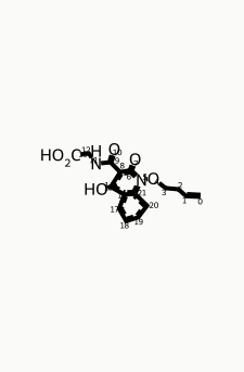 C=CCCOn1c(=O)c(C(=O)NCC(=O)O)c(O)c2ccccc21